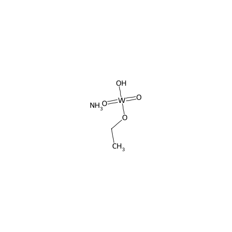 CC[O][W](=[O])(=[O])[OH].N